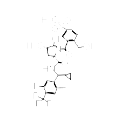 C[C@@H]1C[C@H](C(=O)NC(c2cc(F)c(C(F)(F)F)cc2F)C2CC2)N(C(=O)c2cc(S(C)(=O)=O)ccc2CO)[C@@H]1C